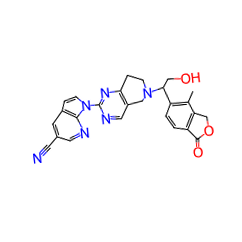 Cc1c(C(CO)N2CCc3nc(-n4ccc5cc(C#N)cnc54)ncc3C2)ccc2c1COC2=O